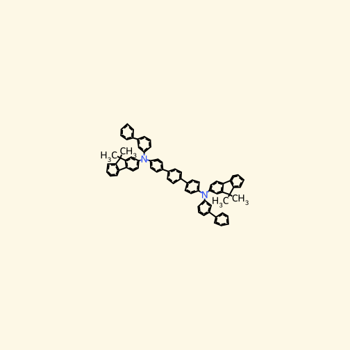 CC1(C)c2ccccc2-c2ccc(N(c3ccc(-c4ccc(-c5ccc(N(c6cccc(-c7ccccc7)c6)c6ccc7c(c6)C(C)(C)c6ccccc6-7)cc5)cc4)cc3)c3cccc(-c4ccccc4)c3)cc21